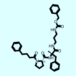 C[C@@](Cc1ccccc1)(NC(=O)[C@@H]1CCCN1C(=O)CCCc1ccccc1)C(=O)NCCCNC(=O)OCc1ccccc1